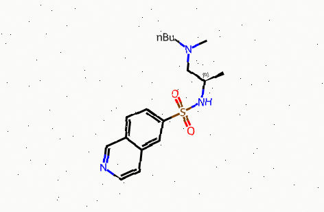 CCCCN(C)C[C@@H](C)NS(=O)(=O)c1ccc2cnccc2c1